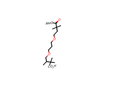 COC(=O)C(C)(C)CCOCCCOCC(C)C(C)(C)C(=O)O